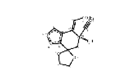 C#C[C@]1(O)CC2(OCCO2)c2nocc2C1=CC(=O)O